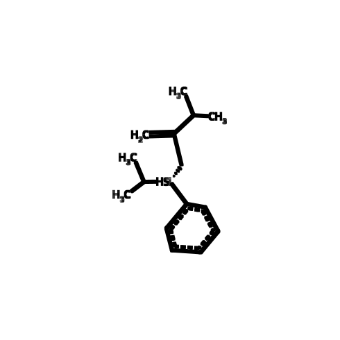 C=C(C[Si@H](c1ccccc1)C(C)C)C(C)C